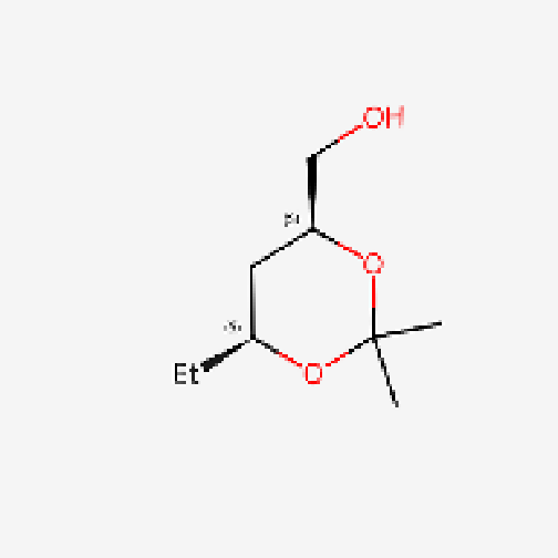 CC[C@H]1C[C@@H](CO)OC(C)(C)O1